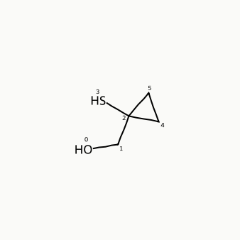 OCC1(S)CC1